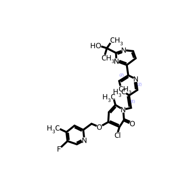 C\C=C(/N=C\C(C)=C\n1c(C)cc(OCc2cc(C)c(F)cn2)c(Cl)c1=O)c1ccnc(C(C)(C)O)n1